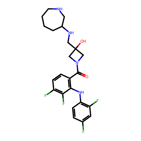 O=C(c1ccc(F)c(F)c1Nc1ccc(F)cc1F)N1CC(O)(CNC2CCCCNC2)C1